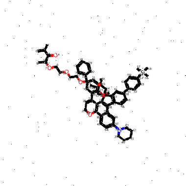 C=C(C)C(=O)C(C)OCCOCCOC1(c2ccccc2)C=CC(OC)=C(C2=CCOc3c2c2c(c4cc(N5CCCCC5)ccc34)-c3ccc(-c4ccc([Si](C)(C)C)cc4)cc3C2(CCC)CCC)C1